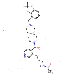 CC1(C)Cc2c(CN3CCC4(CC3)CCN(C(=O)c3ccncc3CCCNC(=O)C(F)(F)F)CC4)cccc2O1